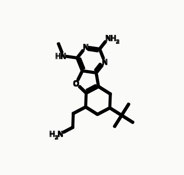 CNc1nc(N)nc2c3c(oc12)C(CCN)CC(C(C)(C)C)C3